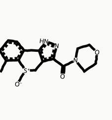 Cc1cccc2c1[S+]([O-])Cc1c(C(=O)N3CCOCC3)n[nH]c1-2